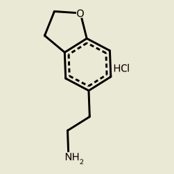 Cl.NCCc1ccc2c(c1)CCO2